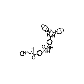 O=C(Nc1ccc(C(=O)NCCN2CCCC2)cc1)Nc1ccc(-c2nc(N3CCOCC3)nc(N3C4CCC3COC4)n2)cc1